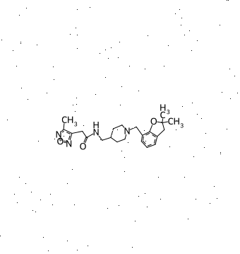 Cc1nonc1CC(=O)NCC1CCN(Cc2cccc3c2OC(C)(C)C3)CC1